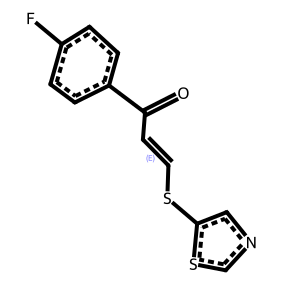 O=C(/C=C/Sc1cncs1)c1ccc(F)cc1